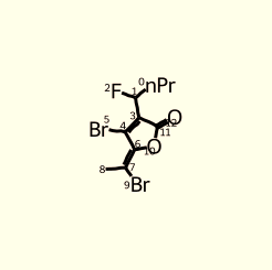 CCCC(F)C1=C(Br)/C(=C(\C)Br)OC1=O